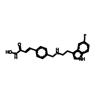 O=C(/C=C/c1ccc(CNCCc2c[nH]c3ccc(F)cc23)cc1)NO